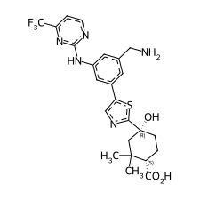 CC1(C)C[C@@](O)(c2ncc(-c3cc(CN)cc(Nc4nccc(C(F)(F)F)n4)c3)s2)CC[C@@H]1C(=O)O